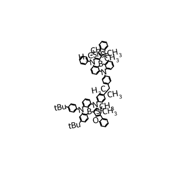 CC(C)(C)c1ccc(N2c3cc(C(C)(C)C)ccc3B3C4=C(N(c5ccc(C(C)(C)Cc6ccc(N7c8ccccc8B8C9=C(N(c%10ccccc%10)c%10cccc7c%108)[Si](C)(C)C7=C9[Si](C)(C)c8ccccc87)cc6)cc5)c5cccc2c53)[Si](C)(C)c2c4oc3ccccc23)cc1